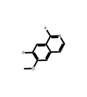 COc1cc2ccnc(F)c2cc1F